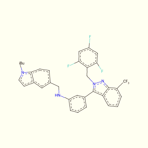 CCC(C)n1ccc2cc(CNc3cccc(-c4c5cccc(C(F)(F)F)c5nn4Cc4c(F)cc(F)cc4F)c3)ccc21